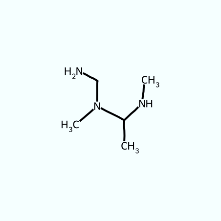 CNC(C)N(C)CN